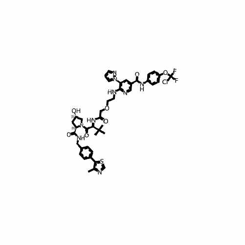 Cc1ncsc1-c1ccc(CNC(=O)[C@H]2C[C@H](O)CN2C(=O)C(NC(=O)COCCNc2ncc(C(=O)Nc3ccc(OC(F)(F)Cl)cc3)cc2-n2cccn2)C(C)(C)C)cc1